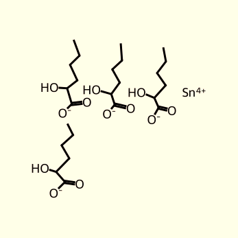 CCCCC(O)C(=O)[O-].CCCCC(O)C(=O)[O-].CCCCC(O)C(=O)[O-].CCCCC(O)C(=O)[O-].[Sn+4]